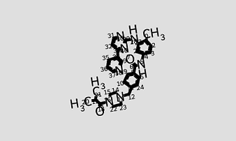 Cc1ccc(NC(=O)c2ccc(CN3CCN(C(=O)C(C)C)CC3)cc2)cc1Nc1nccc(-c2cccnc2)n1